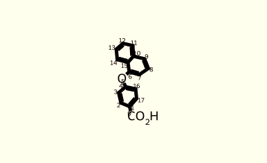 O=C(O)c1ccc(Oc2cccc3ccccc23)cc1